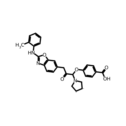 Cc1ccccc1Nc1nc2ccc(CC(=O)C(Oc3ccc(C(=O)O)cc3)N3C[CH][CH]C3)cc2o1